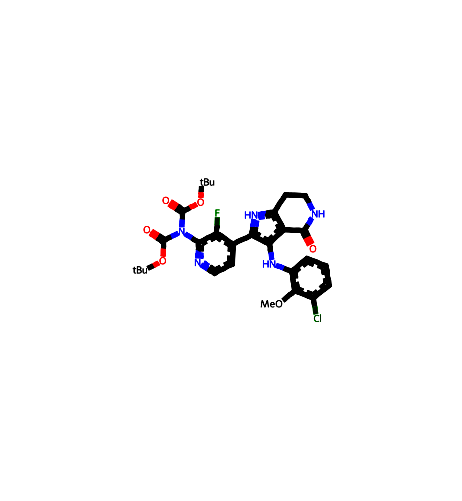 COc1c(Cl)cccc1Nc1c(-c2ccnc(N(C(=O)OC(C)(C)C)C(=O)OC(C)(C)C)c2F)[nH]c2c1C(=O)NCC2